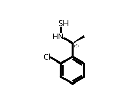 C[C@H](NS)c1ccccc1Cl